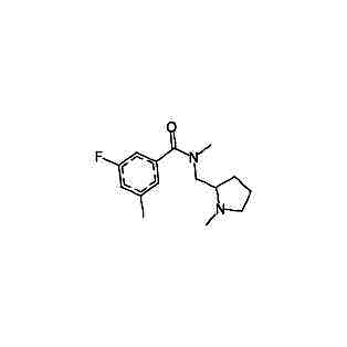 Cc1cc(F)cc(C(=O)N(C)CC2CCCN2C)c1